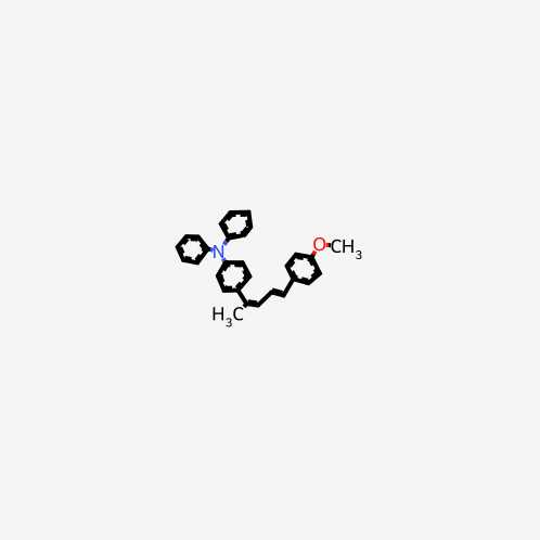 COc1ccc(C=CC=C(C)c2ccc(N(c3ccccc3)c3ccccc3)cc2)cc1